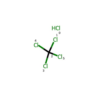 Cl.ClC(Cl)(Cl)Cl